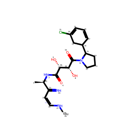 C[C@@H](NC(=O)[C@H](O)[C@@H](O)C(=O)N1CCCC1C1C=CC=C(Cl)C1)C(=N)/C=C\NC(C)(C)C